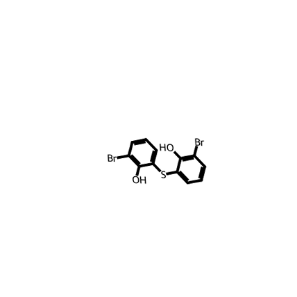 Oc1c(Br)cccc1Sc1cccc(Br)c1O